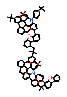 CC(C)(C)c1ccc(-c2ccccc2N(c2ccc(-c3cccc4c3oc3ccccc34)cc2)c2ccccc2-c2cccc3c2C(c2cc(C(C)(C)C)cc(C(C)(C)Cc4cccc5oc6c(-c7ccc(N(c8ccc(C(C)(C)C)cc8)c8ccccc8-c8cccc9cccc(-c%10cc(C(C)(C)C)cc(C(C)(C)C)c%10)c89)cc7)cccc6c45)c2)CC=C3)cc1